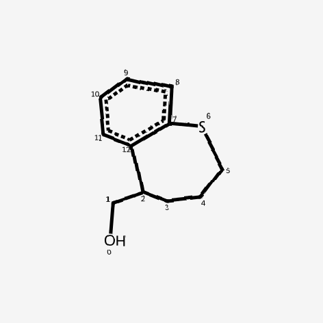 OCC1CCCSc2ccccc21